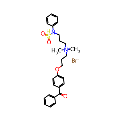 C[N+](C)(CCCOc1ccc(C(=O)c2ccccc2)cc1)CCCN(c1ccccc1)[SH](=O)=O.[Br-]